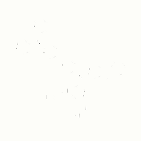 CC1(C)CCC(C)(C)c2cc(N(c3ccc(-c4ccc(N(c5ccccc5)c5ccccc5)cc4)cc3)c3ccc4c(c3)sc3ccccc34)ccc21